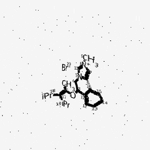 CC(OC(Cn1cc[n+](C)c1)c1ccccc1)=C(C(C)C)C(C)C.[Br-]